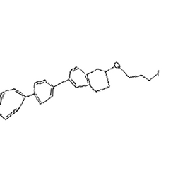 ICCCOC1CCc2cc(-c3ccc(-c4ccccc4)cc3)ccc2C1